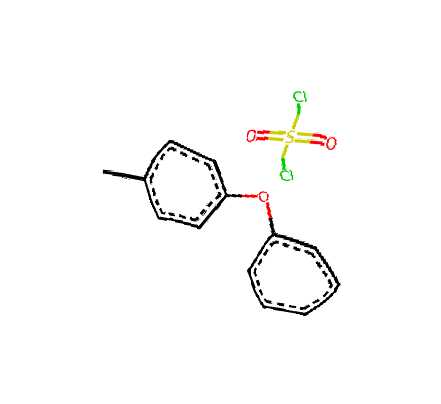 Cc1ccc(Oc2ccccc2)cc1.O=S(=O)(Cl)Cl